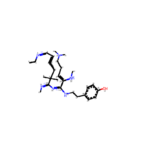 CC/N=C\C=CCC(C)(C)C(=N/C)/N=C(/NCCc1ccc(O)cc1)C(=CCCN(C)C)NC